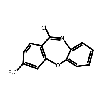 FC(F)(F)c1ccc2c(c1)Oc1ccccc1N=C2Cl